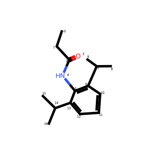 CCC(=O)Nc1c(C(C)C)cccc1C(C)C